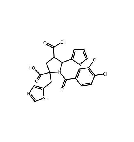 O=C(O)C1CC(Cc2cnc[nH]2)(C(=O)O)N(C(=O)c2ccc(Cl)c(Cl)c2)C1c1cccs1